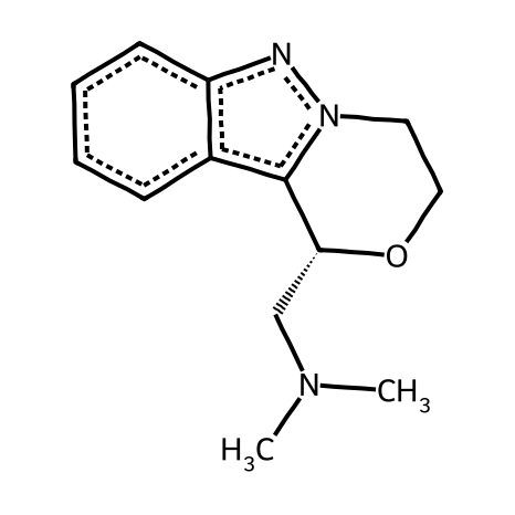 CN(C)C[C@H]1OCCn2nc3ccccc3c21